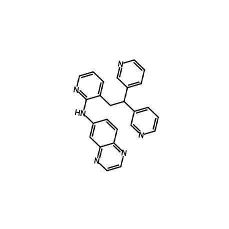 c1cncc(C(Cc2cccnc2Nc2ccc3nccnc3c2)c2cccnc2)c1